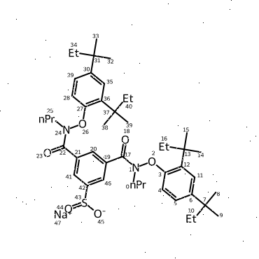 CCCN(Oc1ccc(C(C)(C)CC)cc1C(C)(C)CC)C(=O)c1cc(C(=O)N(CCC)Oc2ccc(C(C)(C)CC)cc2C(C)(C)CC)cc(S(=O)[O-])c1.[Na+]